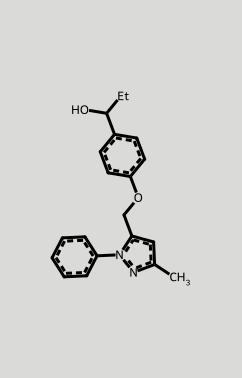 CCC(O)c1ccc(OCc2cc(C)nn2-c2ccccc2)cc1